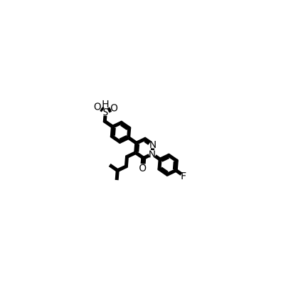 CC(C)CCc1c(-c2ccc(C[SH](=O)=O)cc2)cnn(-c2ccc(F)cc2)c1=O